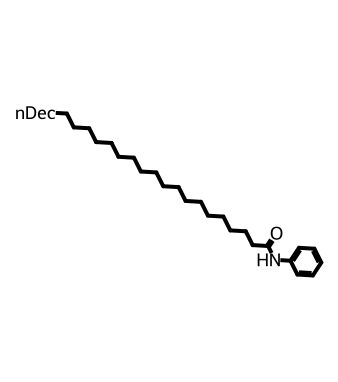 CCCCCCCCCCCCCCCCCCCCCCCCCCCCC(=O)Nc1ccccc1